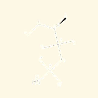 CC[C@@H](C)C(C)(C)CC(C)(C)S